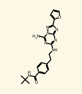 CC(C)(C)NC(=O)c1ccc(CCNc2nc(N)n3nc(-c4ccco4)nc3n2)cc1